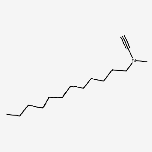 C#CN(C)CCCCCCCCCCCC